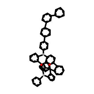 c1ccc(-c2cccc(-c3ccc(-c4ccc(N(c5ccc6c(c5)C5(c7ccccc7-6)c6ccccc6N(c6ccccc6)c6ccccc65)c5ccccc5-c5ccccc5)cc4)cc3)c2)cc1